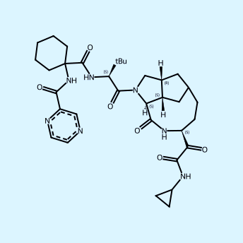 CC(C)(C)[C@H](NC(=O)C1(NC(=O)c2cnccn2)CCCCC1)C(=O)N1C[C@@H]2CC3CC[C@@H](C(=O)C(=O)NC4CC4)NC(=O)[C@@H]1[C@H]2C3